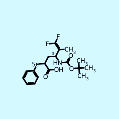 CC(=C(F)F)[C@H](CC([Se]c1ccccc1)C(=O)O)NC(=O)OC(C)(C)C